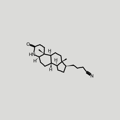 C[C@]12CCC(=O)N[C@@H]1CC[C@@H]1[C@@H]2CC[C@]2(C)[C@@H](CCCC#N)CC[C@@H]12